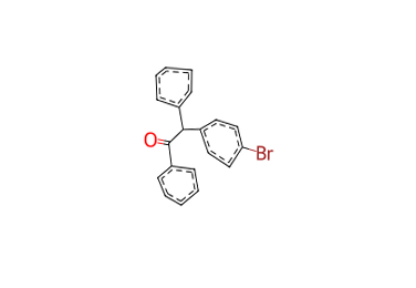 O=C(c1ccccc1)C(c1ccccc1)c1ccc(Br)cc1